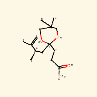 C=C(C)[C@H](C)CC1(CCC(=O)OC)OCC(C)(C)CO1